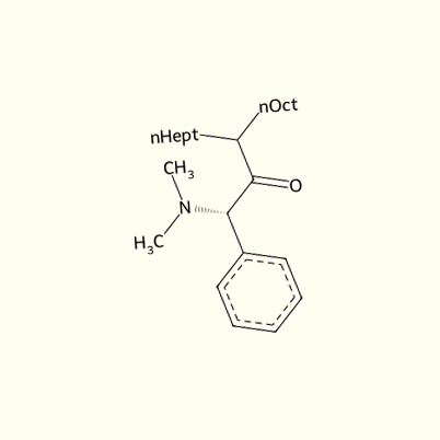 CCCCCCCCC(CCCCCCC)C(=O)[C@H](c1ccccc1)N(C)C